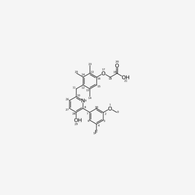 COc1cc(F)cc(-c2nc(Cc3c(C)cc(OCC(=O)O)c(C)c3C)ccc2O)c1